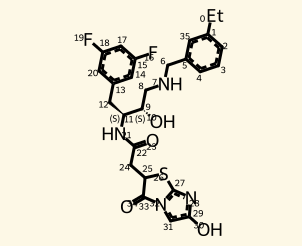 CCc1cccc(CNC[C@H](O)[C@H](Cc2cc(F)cc(F)c2)NC(=O)CC2Sc3nc(O)cn3C2=O)c1